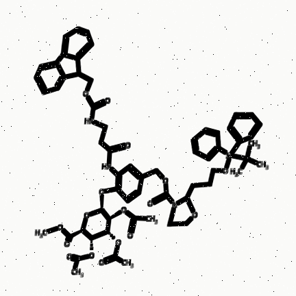 COC(=O)[C@H]1O[C@@H](Oc2ccc(COC(=O)N3CCOC3CCCO[Si](c3ccccc3)(c3ccccc3)C(C)(C)C)cc2NC(=O)CCNC(=O)OCC2c3ccccc3-c3ccccc32)[C@@H](OC(C)=O)[C@H](OC(C)=O)[C@@H]1OC(C)=O